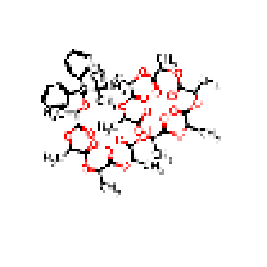 CC(OC(=O)C(C)OC(=O)C(C)OC(=O)C(C)OC(=O)C(C)OC(=O)C(C)OC(=O)C(C)OC(=O)C(C)OC(=O)C(C)OC(=O)C(C)O[Si](c1ccccc1)(c1ccccc1)C(C)(C)C)C(=O)O